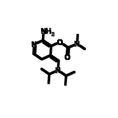 CC(C)N(C=C1CC=NC(N)=C1OC(=O)N(C)C)C(C)C